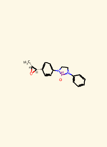 C[C@H]1O[C@H]1c1ccc(N2CCN(c3ccccc3)[PH]2=O)cc1